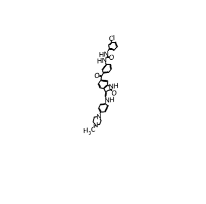 CN1CCN(c2ccc(NC=C3C(=O)Nc4cc(C(=O)c5cccc(NC(=O)Nc6cccc(Cl)c6)c5)ccc43)cc2)CC1